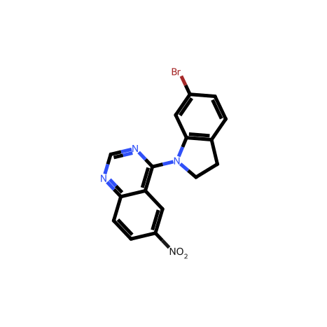 O=[N+]([O-])c1ccc2ncnc(N3CCc4ccc(Br)cc43)c2c1